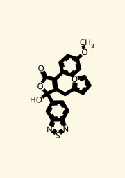 COc1ccc(C2=C(Cc3ccco3)C(O)(c3ccc4nsnc4c3)OC2=O)cc1